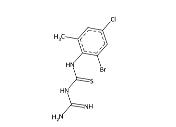 Cc1cc(Cl)cc(Br)c1NC(=S)NC(=N)N